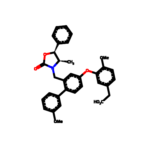 COc1cccc(-c2ccc(Oc3cc(CC(=O)O)ccc3OC)cc2CN2C(=O)O[C@H](c3ccccc3)[C@@H]2C)c1